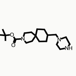 CC(C)(C)OC(=O)N1CCC2(CCC(CN3CCNCC3)CC2)CC1